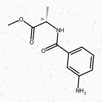 COC(=O)[C@H](C)NC(=O)c1cccc(N)c1